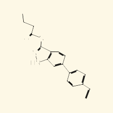 C=Cc1ccc(-c2ccc3c(NC(=O)CCC)n[nH]c3c2)cc1